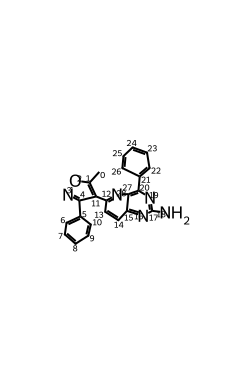 Cc1onc(-c2ccccc2)c1-c1ccc2nc(N)nc(-c3ccccc3)c2n1